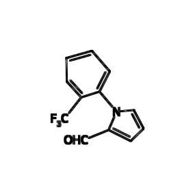 O=Cc1cccn1-c1ccccc1C(F)(F)F